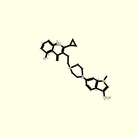 C=C(/C(CCN1CCN(c2ccc3c(C(=O)O)cn(C)c3c2)CC1)=C(\OC)C1CC1)c1c(Cl)cccc1Cl